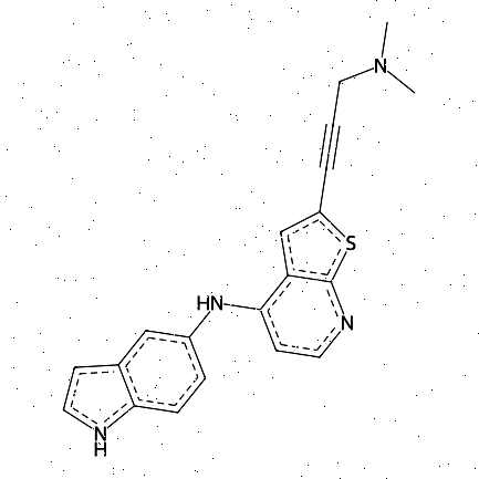 CN(C)CC#Cc1cc2c(Nc3ccc4[nH]ccc4c3)ccnc2s1